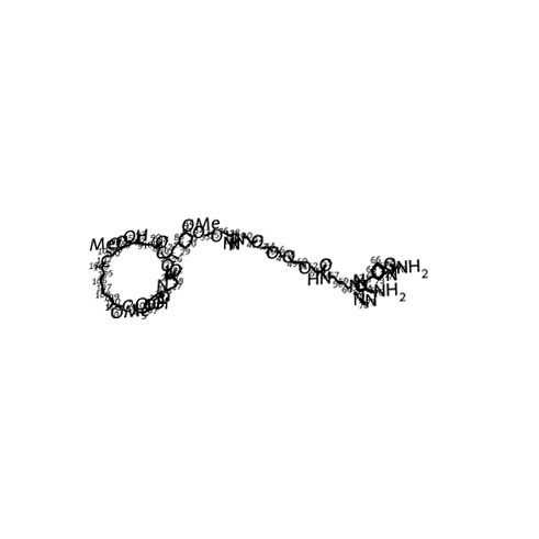 CO[C@H]1CC2CC[C@@H](C)[C@@](O)(O2)C(=O)C(=O)N2CCCC[C@H]2C(=O)O[C@H]([C@H](C)C[C@@H]2CC[C@@H](OCCOCc3cn(CCOCCOCCOCCOCCC(=O)NCCCCn4nc(-c5ccc6oc(N)nc6c5)c5c(N)ncnc54)nn3)[C@H](OC)C2)CC(=O)[C@H](C)/C=C(\C)[C@@H](O)[C@@H](OC)C(=O)[C@H](C)C[C@H](C)/C=C/C=C/C=C/1C